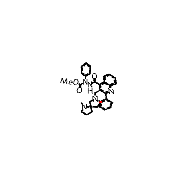 COC(=O)N(NC(=O)c1c(CN2CCC3(CCCN3C)C2)c(-c2ccccc2)nc2ccccc12)c1ccccc1